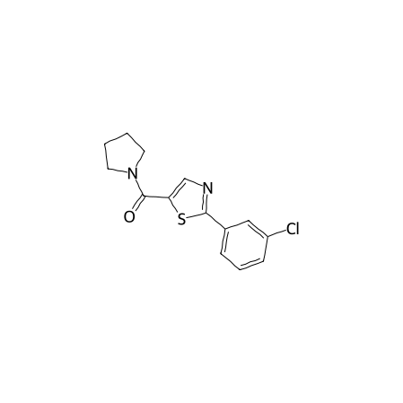 O=C(c1cnc(-c2cccc(Cl)c2)s1)N1CCCC1